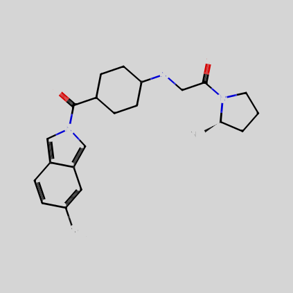 N#C[C@@H]1CCCN1C(=O)CNC1CCC(C(=O)n2cc3ccc([N+](=O)[O-])cc3c2)CC1